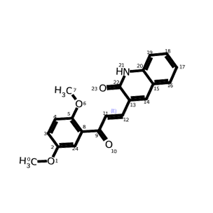 COc1ccc(OC)c(C(=O)/C=C/c2cc3ccccc3[nH]c2=O)c1